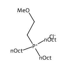 CCCCCCCC[P+](CCCCCCCC)(CCCCCCCC)CCOC.[Cl-]